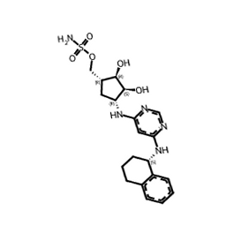 NS(=O)(=O)OC[C@H]1C[C@@H](Nc2cc(N[C@H]3CCCc4ccccc43)ncn2)[C@H](O)[C@@H]1O